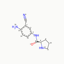 N#Cc1cc(NC(=O)[C@H]2CCCN2)ccc1N